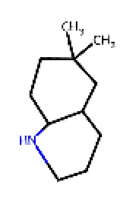 CC1(C)CCC2NCCCC2C1